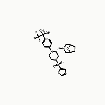 CC(O)(c1ccc(N2CCN(S(=O)(=O)c3cccs3)C[C@H]2CN2CC3CCC(C2)O3)cc1)C(F)(F)F